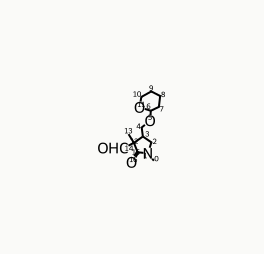 CN1CC(COC2CCCCO2)C(C)(C=O)C1=O